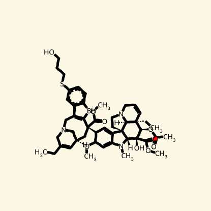 CCC1=C[C@H]2CN(C1)CC1=C(Bc3ccc(SCCCO)cc31)[C@@](C(=O)OC)(C1C=C3C(=CC1OC)N(C)[C@H]1[C@@](O)(C(=O)OC)[C@H](OC(C)=O)[C@]4(CC)C=CCN5CC[C@]31[C@@H]54)C2